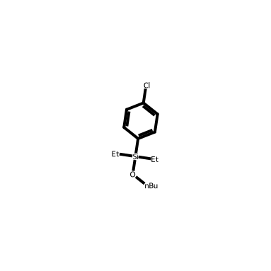 CCCCO[Si](CC)(CC)c1ccc(Cl)cc1